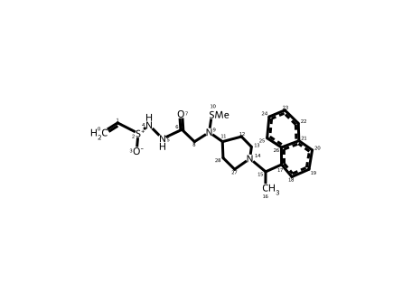 C=C[S+]([O-])NNC(=O)CN(SC)C1CCN(C(C)c2cccc3ccccc23)CC1